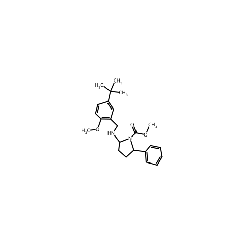 COC(=O)N1C(NCc2cc(C(C)(C)C)ccc2OC)CCC1c1ccccc1